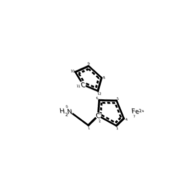 NC[c-]1cccc1.[Fe+2].c1cc[cH-]c1